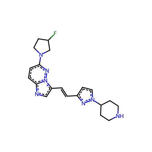 FC1CCN(c2ccc3ncc(/C=C/c4ccn(C5CCNCC5)n4)n3n2)C1